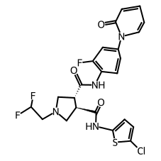 O=C(Nc1ccc(Cl)s1)[C@H]1CN(CC(F)F)C[C@@H]1C(=O)Nc1ccc(-n2ccccc2=O)cc1F